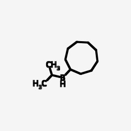 CC(C)BC1CCCCCCCC1